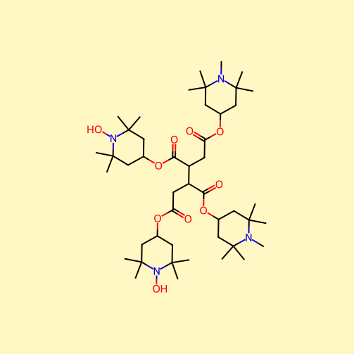 CN1C(C)(C)CC(OC(=O)CC(C(=O)OC2CC(C)(C)N(O)C(C)(C)C2)C(CC(=O)OC2CC(C)(C)N(O)C(C)(C)C2)C(=O)OC2CC(C)(C)N(C)C(C)(C)C2)CC1(C)C